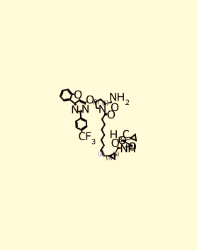 CC1(S(=O)(=O)NC(=O)[C@H]2C[C@H]2/C=C\CCCCCCC(=O)N2C[C@H](Oc3nc(-c4ccc(C(F)(F)F)cc4)nc4c3oc3ccccc34)C[C@H]2C(N)=O)CC1